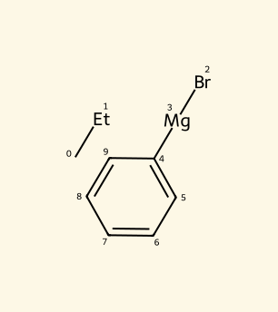 CCC.[Br][Mg][c]1ccccc1